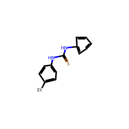 CCc1ccc(NC(=S)Nc2ccccc2)cc1